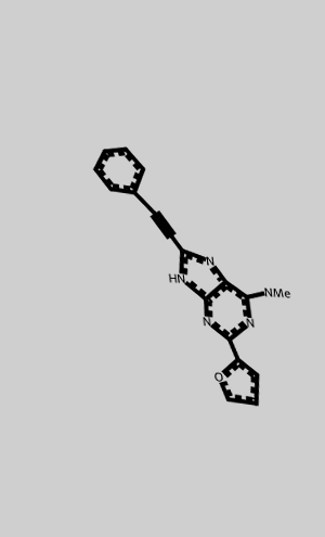 CNc1nc(-c2ccco2)nc2[nH]c(C#Cc3ccccc3)nc12